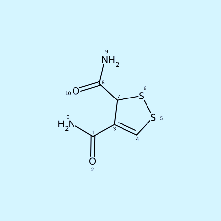 NC(=O)C1=CSSC1C(N)=O